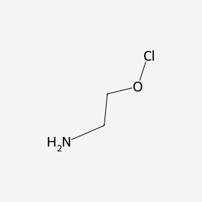 NCCOCl